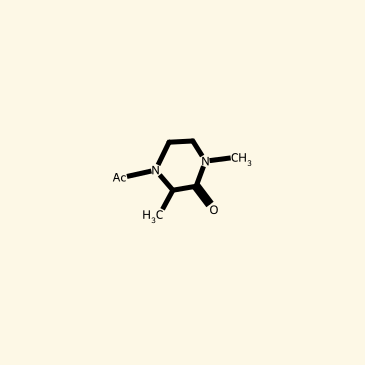 CC(=O)N1CCN(C)C(=O)C1C